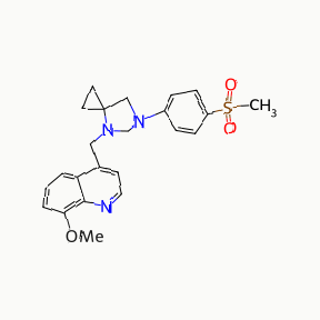 COc1cccc2c(CN3CN(c4ccc(S(C)(=O)=O)cc4)CC34CC4)ccnc12